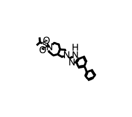 CC(C)S(=O)(=O)N1CCC2CN(c3nc4cc(-c5ccccc5)ccc4[nH]3)CC2CC1